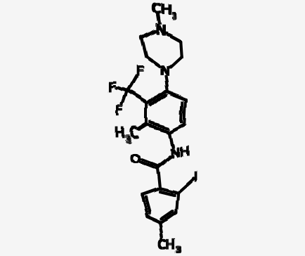 Cc1ccc(C(=O)Nc2ccc(N3CCN(C)CC3)c(C(F)(F)F)c2C)c(I)c1